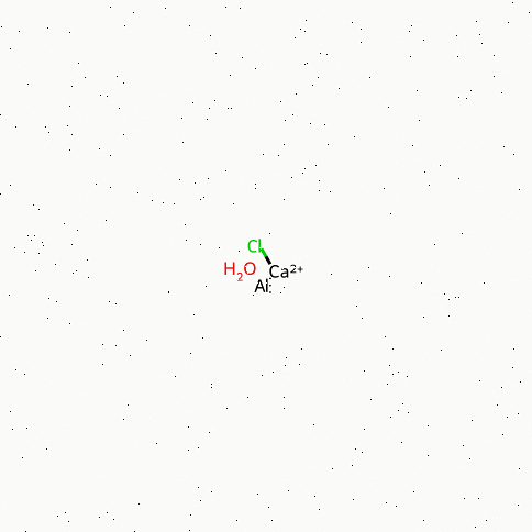 O.[Al].[Cl][Ca+2]